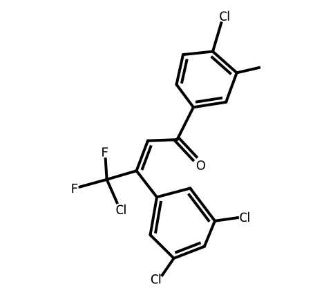 Cc1cc(C(=O)/C=C(\c2cc(Cl)cc(Cl)c2)C(F)(F)Cl)ccc1Cl